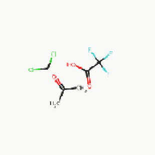 CC(C)=O.ClCCl.O=C(O)C(F)(F)F